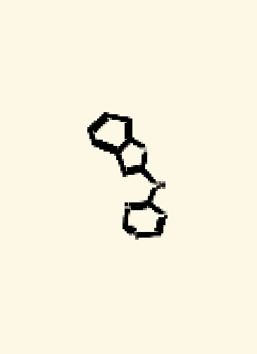 c1ccc2oc(Nc3ncncn3)cc2c1